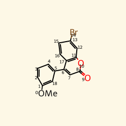 COc1cccc(-c2cc(=O)oc3cc(Br)ccc23)c1